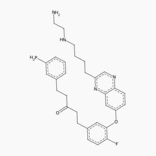 NCCNCCCCc1cnc2ccc(Oc3cc(CCC(=O)CCc4cccc(P)c4)ccc3F)cc2n1